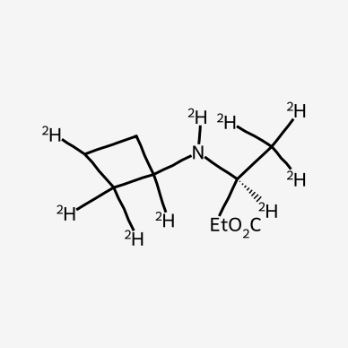 [2H]C1CC([2H])(N([2H])[C@]([2H])(C(=O)OCC)C([2H])([2H])[2H])C1([2H])[2H]